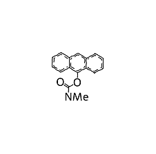 CNC(=O)Oc1c2ccccc2cc2ccccc12